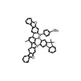 Cc1cc2c3c4c1c1cc5c(cc1n4-c1cc4c(cc1B3N(c1ccc(C(C)(C)C)cc1)c1cc3oc6ccccc6c3cc1-2)C(C)(C)c1ccccc1-4)oc1ccccc15